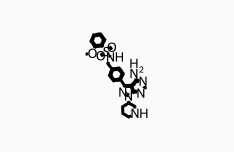 COc1ccccc1S(=O)(=O)NCc1ccc(-c2nn(C3CCCNC3)c3ncnc(N)c23)cc1